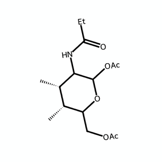 CCC(=O)NC1C(OC(C)=O)OC(COC(C)=O)[C@H](C)[C@@H]1C